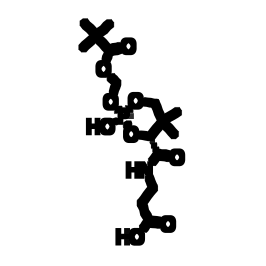 CC(C)(C)C(=O)OCO[P@@]1(O)OCC(C)(C)[C@H](C(=O)NCCC(=O)O)O1